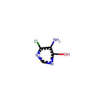 Nc1c(O)ncnc1Cl